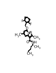 CCCC[C@@H](C)NC(=O)c1c(C)nn2c(OCc3c(F)cccc3F)cc(C)cc12